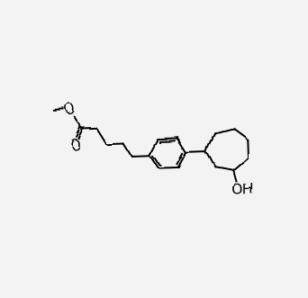 COC(=O)CCCCc1ccc(C2CCCCC(O)C2)cc1